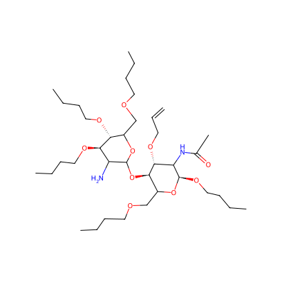 C=CCO[C@@H]1C(NC(C)=O)[C@@H](OCCCC)OC(COCCCC)[C@H]1OC1OC(COCCCC)[C@@H](OCCCC)[C@H](OCCCC)C1N